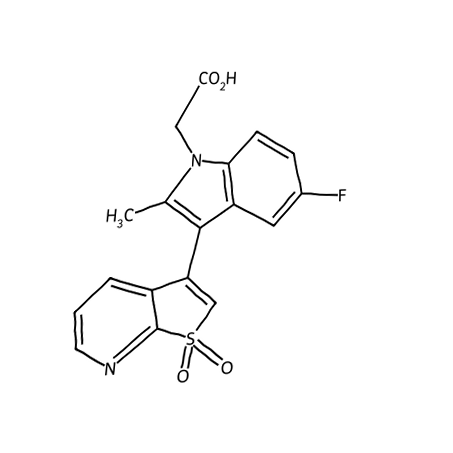 Cc1c(C2=CS(=O)(=O)c3ncccc32)c2cc(F)ccc2n1CC(=O)O